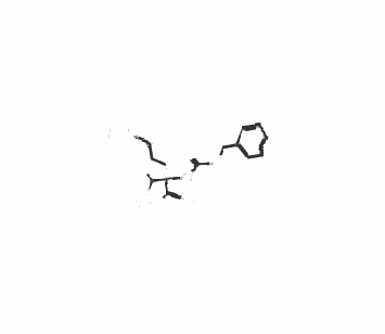 COC(=O)[C@](CCCN)(NC(=O)OCc1ccccc1)C(F)F